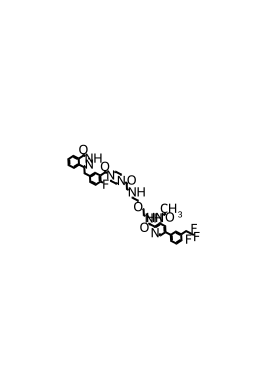 CC(=O)Nc1cc(-c2cccc(CC(F)(F)F)c2)cnc1C(=O)NCCOCCNCC(=O)N1CCN(C(=O)c2cc(Cc3n[nH]c(=O)c4ccccc34)ccc2F)CC1